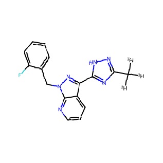 [2H]C([2H])([2H])c1n[nH]c(-c2nn(Cc3ccccc3F)c3ncccc23)n1